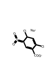 O=C([O-])C1=CC(=S(=O)=O)C(Cl)C=C1Cl.[Na+]